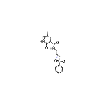 Cc1cc(C(=O)NC/C=C/S(=O)(=O)c2ccccc2)c(=O)[nH]n1